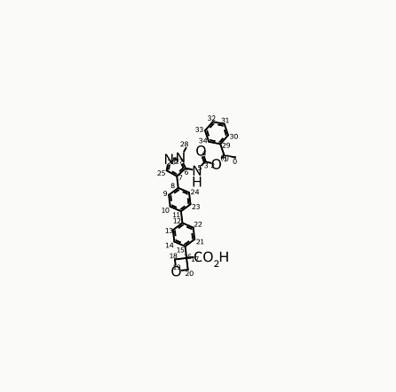 C[C@@H](OC(=O)Nc1c(-c2ccc(-c3ccc(C4(C(=O)O)COC4)cc3)cc2)cnn1C)c1ccccc1